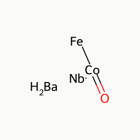 [BaH2].[Nb].[O]=[Co][Fe]